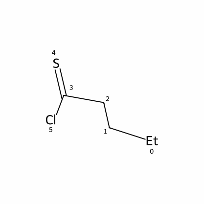 CCCCC(=S)Cl